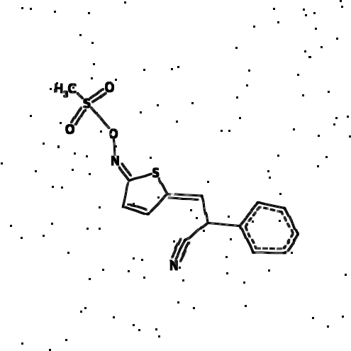 CS(=O)(=O)ON=C1C=CC(=CC(C#N)c2ccccc2)S1